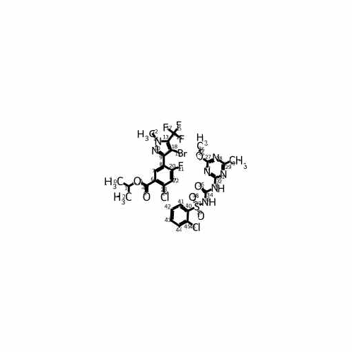 CC(C)OC(=O)c1cc(-c2nn(C)c(C(F)(F)F)c2Br)c(F)cc1Cl.COc1nc(C)nc(NC(=O)NS(=O)(=O)c2ccccc2Cl)n1